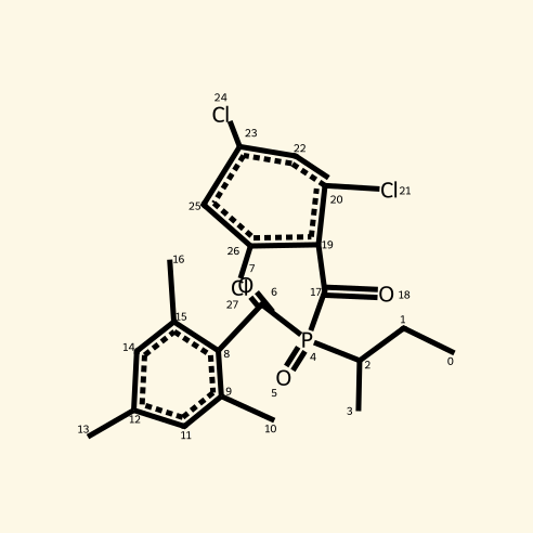 CCC(C)P(=O)(C(=O)c1c(C)cc(C)cc1C)C(=O)c1c(Cl)cc(Cl)cc1Cl